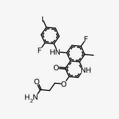 Cc1c(F)cc(Nc2ccc(I)cc2F)c2c(=O)c(OCCC(N)=O)c[nH]c12